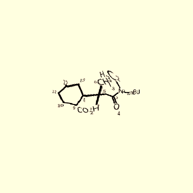 CCCCN(C)C(=O)C(C)(C(=O)O)C1CCCCC1